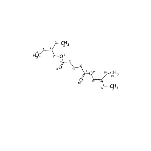 CCC(CC)COC(=O)CCCC(=O)OCC(CC)CC